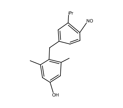 Cc1cc(O)cc(C)c1Cc1ccc(N=O)c(C(C)C)c1